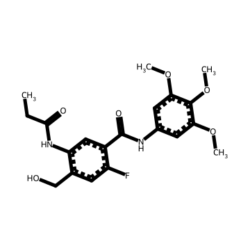 CCC(=O)Nc1cc(C(=O)Nc2cc(OC)c(OC)c(OC)c2)c(F)cc1CO